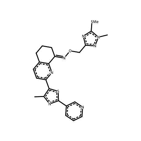 CSc1nc(CO/N=C2\CCCc3ccc(-c4sc(-c5cccnc5)nc4C)nc32)nn1C